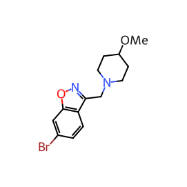 COC1CCN(Cc2noc3cc(Br)ccc23)CC1